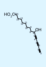 C#CC#CC#CC(O)CCCCCCCCC(=O)O